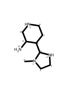 CN1CCNC1C1CCNCC1N